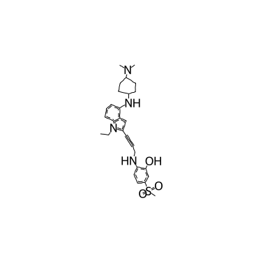 CCn1c(C#CCNc2ccc(S(C)(=O)=O)cc2O)cc2c(NC3CCC(N(C)C)CC3)cccc21